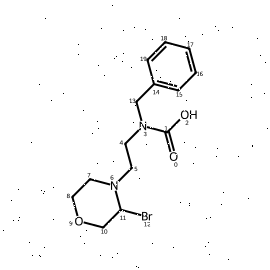 O=C(O)N(CCN1CCOCC1Br)Cc1ccccc1